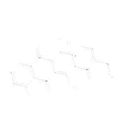 C=C1c2cccc(O)c2C(=O)C2=C(O)[C@]3(O)C(=O)C(C(N)=O)=C(O)C[C@@H]3[C@@H](C=O)[C@H]12